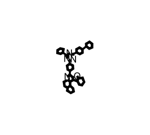 c1ccc(-c2ccc(-c3nc(-c4ccccc4)nc(-c4ccc(-c5nc6ccc7ccccc7c6c6c5oc5ccccc56)cc4)n3)cc2)cc1